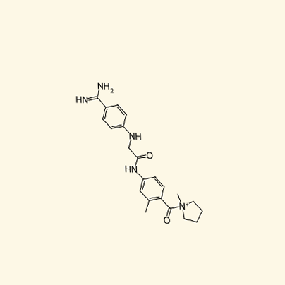 Cc1cc(NC(=O)CNc2ccc(C(=N)N)cc2)ccc1C(=O)[N+]1(C)CCCC1